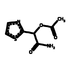 CC(=O)OC(C(N)=O)c1nccs1